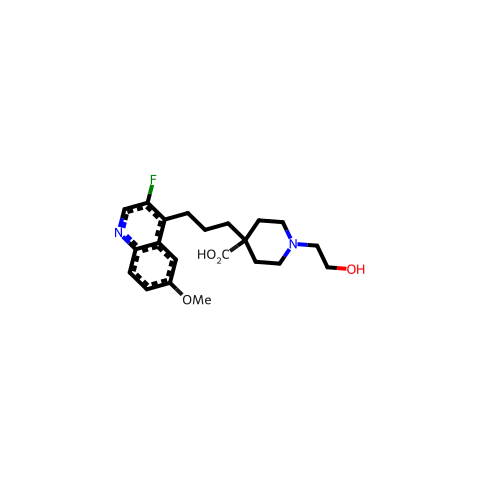 COc1ccc2ncc(F)c(CCCC3(C(=O)O)CCN(CCO)CC3)c2c1